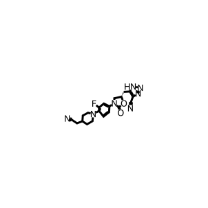 N#CCC1CCN(c2ccc(N3C[C@H](Cc4[nH]nnc4C#N)OC3=O)cc2F)CC1